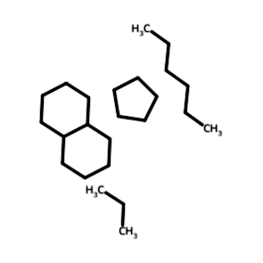 C1CCC2CCCCC2C1.C1CCCC1.CCC.CCCCCC